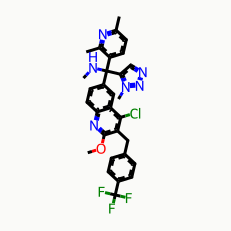 CNC(c1ccc2nc(OC)c(Cc3ccc(C(F)(F)F)cc3)c(Cl)c2c1)(c1ccc(C)nc1C)c1cnnn1C